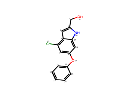 OCc1cc2c(Cl)cc(Oc3ccccc3)cc2[nH]1